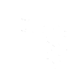 COc1ccc(C2=NN(C3CCN(C(C)C)CC3)C(=O)C3CC=CCC23)cc1OC